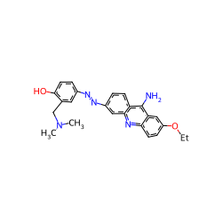 CCOc1ccc2nc3cc(/N=N/c4ccc(O)c(CN(C)C)c4)ccc3c(N)c2c1